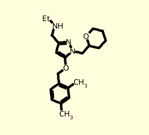 CCNCc1cc(OCc2ccc(C)cc2C)n(CC2CCCCO2)n1